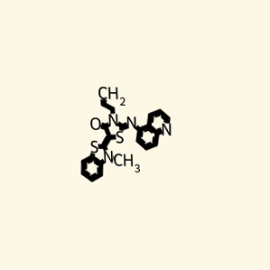 C=CCN1C(=O)C(=C2Sc3ccccc3N2C)SC1=Nc1cccc2ncccc12